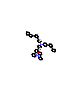 c1ccc(-c2cccc(-c3ccc(N(c4ccc(-c5ccc(-c6ccccc6-n6c7ccccc7c7ccccc76)cc5)cc4)c4ccc(-c5cccc(-c6ccc7ccccc7c6)c5)cc4)cc3)c2)cc1